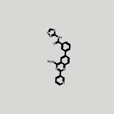 CNc1nc(-c2cccnc2)nc2ccc(-c3cccc(C(=O)Nc4nncs4)c3)cc12